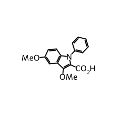 COc1ccc2c(c1)c(OC)c(C(=O)O)n2-c1ccccc1